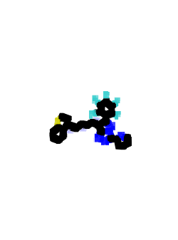 Fc1c(F)c(F)c(-c2nn3c(-c4ccccn4)nnc3\c2=C/C=C/C=C2\C=CSc3ccccc32)c(F)c1F